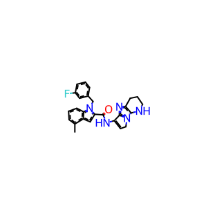 Cc1cccc2c1cc(C(=O)NC1=CCn3c1nc1c3NCCC1)n2Cc1cccc(F)c1